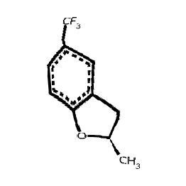 C[C@@H]1Cc2cc(C(F)(F)F)ccc2O1